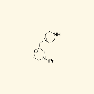 CC(C)N1CCOC(CN2CCNCC2)C1